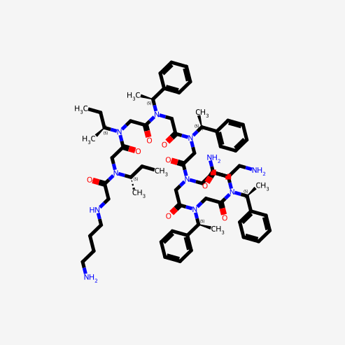 CC[C@H](C)N(CC(=O)N(CC(=O)N(CC(=O)N(CC(=O)N(CCCCN)CC(=O)N(CC(=O)N(CC(N)=O)[C@@H](C)c1ccccc1)[C@@H](C)c1ccccc1)[C@@H](C)c1ccccc1)[C@@H](C)c1ccccc1)[C@@H](C)CC)C(=O)CNCCCCN